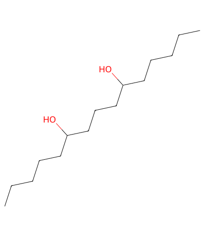 CCCCCC(O)CCCC(O)CCCCC